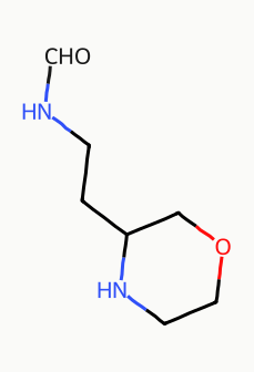 O=CNCCC1COCCN1